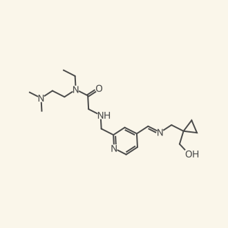 CCN(CCN(C)C)C(=O)CNCc1cc(/C=N/CC2(CO)CC2)ccn1